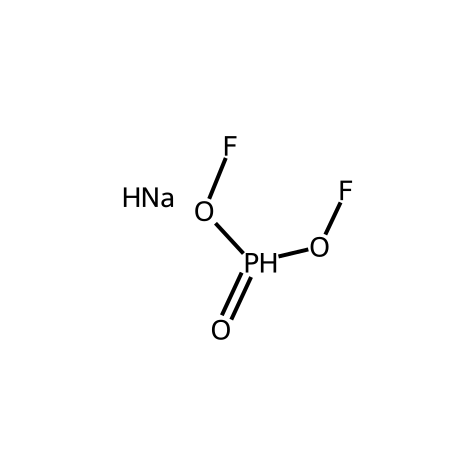 O=[PH](OF)OF.[NaH]